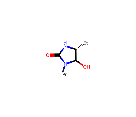 CC[C@H]1NC(=O)N(C(C)C)C1O